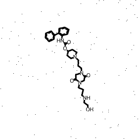 O=C(Nc1ccccc1-c1ccccc1)OC1CCN(CCCN2CC(=O)N(CCCNCCO)CC2=O)CC1